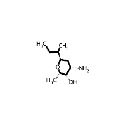 CCC(C)[C@H]1C[C@H](N)[C@H](O)[C@H](C)O1